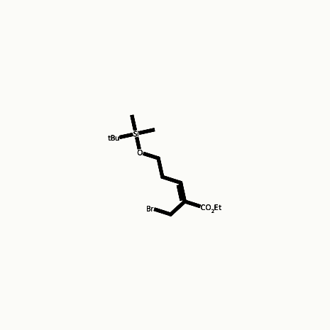 CCOC(=O)C(=CCCO[Si](C)(C)C(C)(C)C)CBr